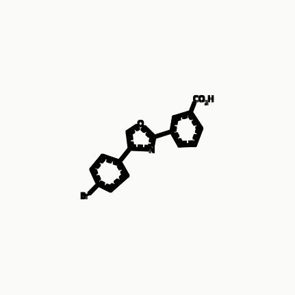 O=C(O)c1cccc(-c2nc(-c3ccc(Br)cc3)co2)c1